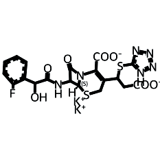 O=C([O-])CC(Sc1nnn[nH]1)C1=C(C(=O)[O-])N2C(=O)C(NC(=O)C(O)c3ccccc3F)[C@@H]2SC1.[K+].[K+]